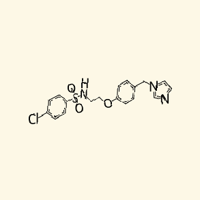 O=S(=O)(NCCOc1ccc(Cn2ccnc2)cc1)c1ccc(Cl)cc1